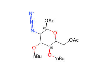 CCCCOC1C(N=[N+]=[N-])[C@@H](OC(C)=O)OC(COC(C)=O)[C@H]1OCCCC